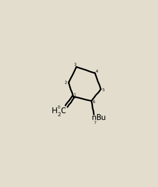 C=C1CCCCC1CCCC